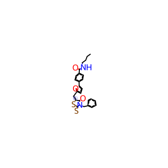 CCCCNC(=O)c1ccc(-c2ccc(/C=C3/SC(=S)N(Cc4ccccc4)C3=O)o2)cc1